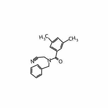 Cc1cc(C)cc(C(=O)N(CC#N)Cc2ccccc2)c1